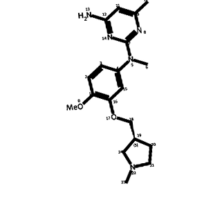 COc1ccc(N(C)c2nc(C)cc(N)n2)cc1OC[C@H]1CCN(C)C1